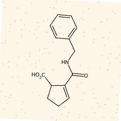 O=C(NCc1ccccc1)C1=CCCC1C(=O)O